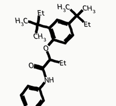 CCC(Oc1ccc(C(C)(C)CC)cc1C(C)(C)CC)C(=O)Nc1cc[c]cc1